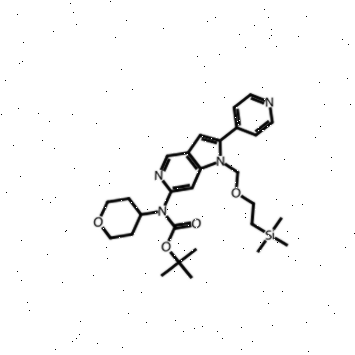 CC(C)(C)OC(=O)N(c1cc2c(cn1)cc(-c1ccncc1)n2COCC[Si](C)(C)C)C1CCOCC1